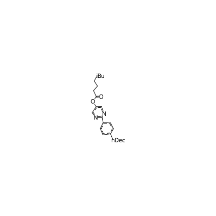 CCCCCCCCCCc1ccc(-c2ncc(OC(=O)CCCC(C)CC)cn2)cc1